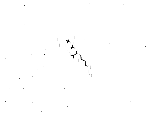 CC(C)(C)OC(=O)N[C@@H](CCCCN=[N+]=[N-])C(=O)O